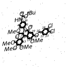 COC(=O)c1c(-c2cc(OC)c(OC)c(OC)c2)c2cc(OC)c(OCc3ccc(Cl)c(Cl)c3)cc2c(=O)n1-c1ccc(NC(=O)OC(C)(C)C)cc1